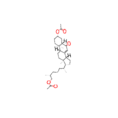 CC(=O)OC[C@H](C)CCC[C@@H](C)[C@H]1CC[C@H]2C3=CC(=O)[C@H]4C[C@@H](OC(C)=O)CC[C@]4(C)[C@H]3CC[C@]12C